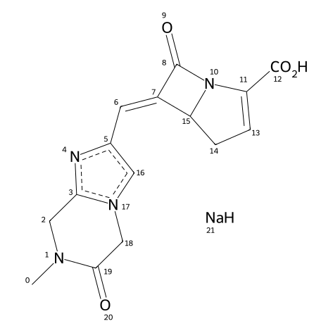 CN1Cc2nc(/C=C3/C(=O)N4C(C(=O)O)=CCC34)cn2CC1=O.[NaH]